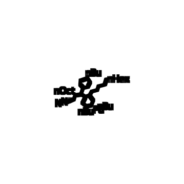 CCCCCCC=CCCCc1ccccc1C(=C(C=C=[N+]=[N-])CCCCCCCC)c1ccc(CCCC)cc1.CCC[CH2][Pd][CH2]CCC